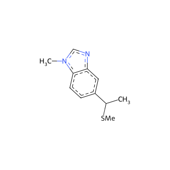 CSC(C)c1ccc2c(c1)ncn2C